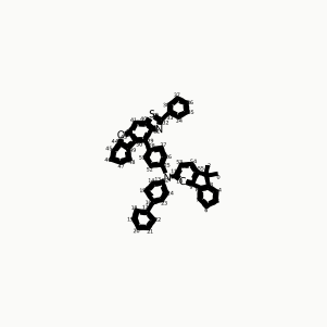 CC1(C)c2ccccc2-c2cc(N(c3ccc(-c4ccccc4)cc3)c3ccc(-c4c5nc(-c6ccccc6)sc5cc5oc6ccccc6c45)cc3)ccc21